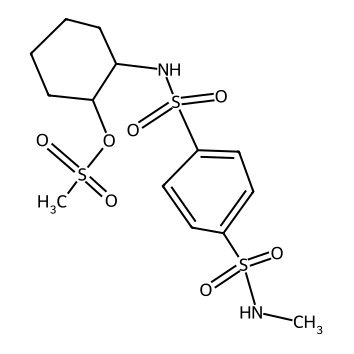 CNS(=O)(=O)c1ccc(S(=O)(=O)NC2CCCCC2OS(C)(=O)=O)cc1